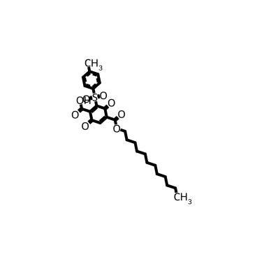 CCCCCCCCCCCCOC(=O)C1=CC(=O)C(C(=O)O)=C(S(=O)(=O)c2ccc(C)cc2)C1=O